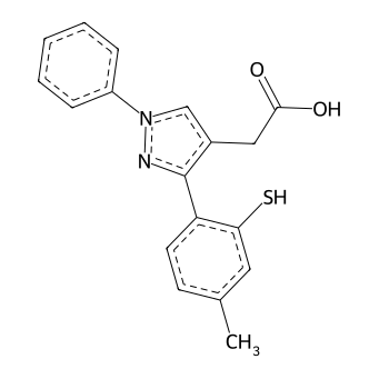 Cc1ccc(-c2nn(-c3ccccc3)cc2CC(=O)O)c(S)c1